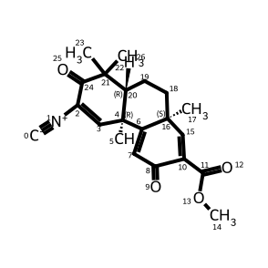 [C-]#[N+]C1=C[C@]2(C)C3=CC(=O)C(C(=O)OC)=C[C@]3(C)CC[C@H]2C(C)(C)C1=O